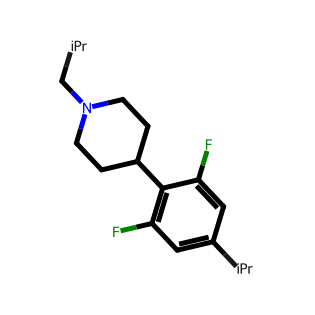 CC(C)CN1CCC(c2c(F)cc(C(C)C)cc2F)CC1